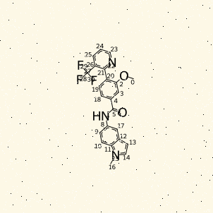 COc1cc(C(=O)Nc2ccc3c(ccn3C)c2)ccc1-c1ncccc1C(F)(F)F